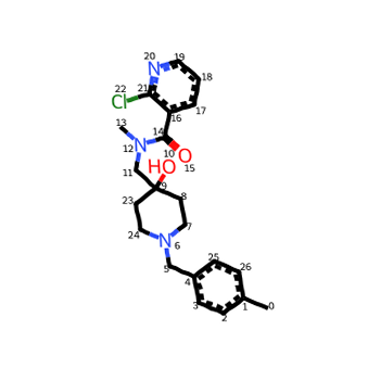 Cc1ccc(CN2CCC(O)(CN(C)C(=O)c3cccnc3Cl)CC2)cc1